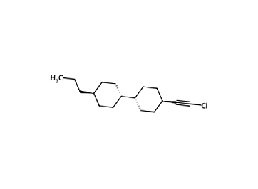 CCC[C@H]1CC[C@H]([C@H]2CC[C@H](C#CCl)CC2)CC1